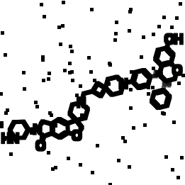 O=C1c2cc3c(cc2CN1C1CCCNC1)C1(CCN(CC2CC4(CCN(c5ccc([C@@H]6c7ccc(O)cc7OC[C@@H]6c6ccccc6)cc5)CC4)C2)CC1)CO3